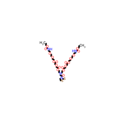 CCCOC(=O)NCCOCCOCCOC(=O)COCC(=O)OCCN(CCOC(=O)COCC(=O)OCCOCCOCCNC(=O)OCCC)CC(=O)N1CCSC1=S